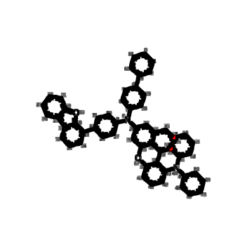 c1ccc(-c2ccc(N(c3ccc(-c4cccc5c4oc4ccccc45)cc3)c3cc4c5c(cccc5c3)-c3c(cccc3N(c3ccccc3)c3ccccc3)O4)cc2)cc1